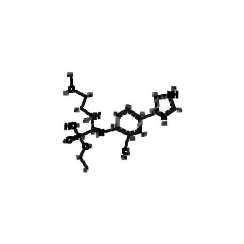 CCOP(=O)(O)C(=Nc1ccc(-c2c[nH]cn2)cc1Cl)NCCOC